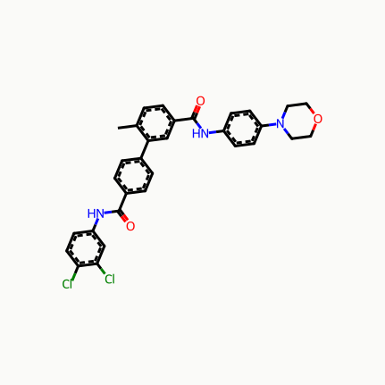 Cc1ccc(C(=O)Nc2ccc(N3CCOCC3)cc2)cc1-c1ccc(C(=O)Nc2ccc(Cl)c(Cl)c2)cc1